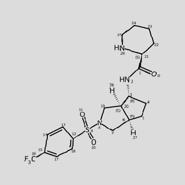 O=C(N[C@@H]1CC[C@H]2CN(S(=O)(=O)c3ccc(C(F)(F)F)cc3)C[C@H]21)[C@@H]1CCCCN1